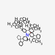 CC(C)(C)c1cccc(-c2cc(-c3cc(C(C)(C)C)cc(C(C)(C)C)c3)ccc2N(c2ccc3c(c2)C(C)(C)c2ccccc2-3)c2ccc3c(c2)C2(CCCC2)c2ccccc2-3)c1